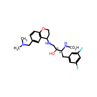 CN(C)Cc1ccc2c(c1)C(NC[C@H](O)[C@H](Cc1cc(F)cc(F)c1)NC(=O)O)CCO2